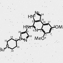 COc1cc(OC)c2nc(Nc3cnn(C4CCN(C(C)(C)C)CC4)c3)c3[nH]ncc3c2c1